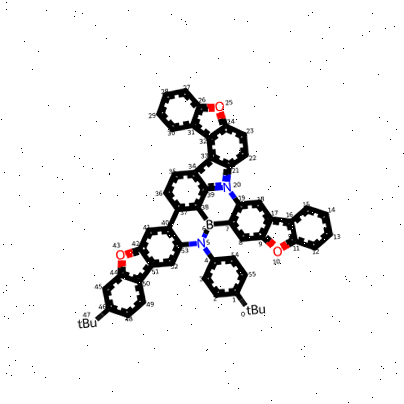 CC(C)(C)c1ccc(N2B3c4cc5oc6ccccc6c5cc4-n4c5ccc6oc7ccccc7c6c5c5ccc(c3c54)-c3cc4oc5cc(C(C)(C)C)ccc5c4cc32)cc1